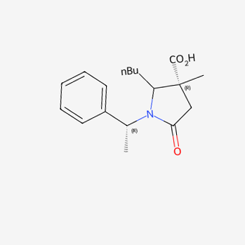 CCCCC1N([C@H](C)c2ccccc2)C(=O)C[C@@]1(C)C(=O)O